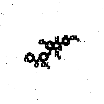 Cc1ccc(C(=O)Nc2cc(Cl)cc(CN3CCN(C(=O)[C@@H]4CCCOC4)[C@@H](C)C3)c2C)cn1